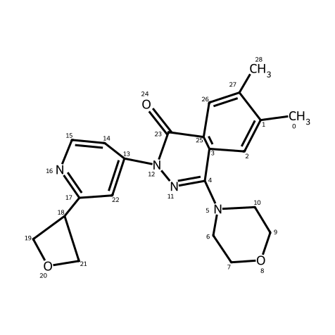 Cc1cc2c(N3CCOCC3)nn(-c3ccnc(C4COC4)c3)c(=O)c2cc1C